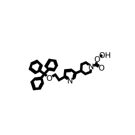 O=C(OO)N1CCC(c2ccc(CCOC(c3ccccc3)(c3ccccc3)c3ccccc3)nc2)CC1